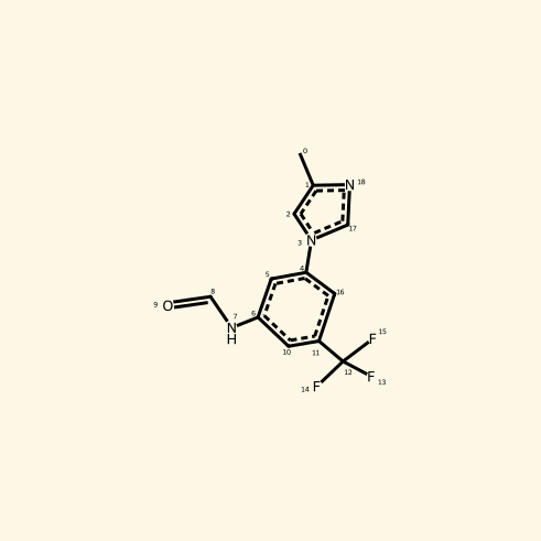 Cc1cn(-c2cc(NC=O)cc(C(F)(F)F)c2)cn1